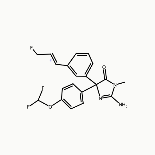 CN1C(=O)C(c2ccc(OC(F)F)cc2)(c2cccc(/C=C/CF)c2)N=C1N